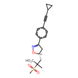 CC(C[C@H]1CC(c2ccc(C#CC3CC3)cc2)=NO1)(C(=O)O)S(C)(=O)=O